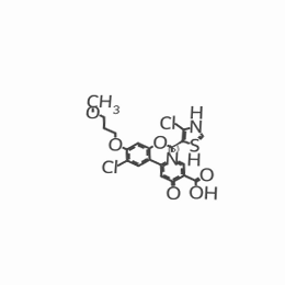 COCCCOc1cc2c(cc1Cl)-c1cc(=O)c(C(=O)O)cn1[C@H](C1=C(Cl)NC=[SH]1)O2